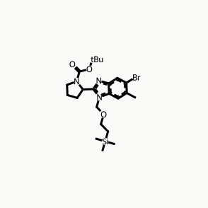 Cc1cc2c(cc1Br)nc(C1CCCN1C(=O)OC(C)(C)C)n2COCC[Si](C)(C)C